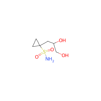 NS(=O)(=O)C1(CC(O)CO)CC1